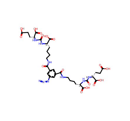 [N-]=[N+]=Nc1cc(C(=O)NCCCC[C@H](NC(=O)N[C@H](CCC(=O)O)C(=O)O)C(=O)O)cc(C(=O)NCCCC[C@H](NC(=O)N[C@H](CCC(=O)O)C(=O)O)C(=O)O)c1